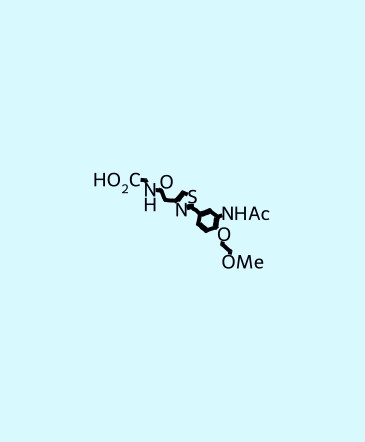 COCCOc1ccc(-c2nc(CC(=O)NCC(=O)O)cs2)cc1NC(C)=O